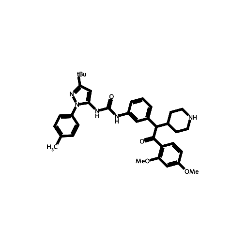 COc1ccc(C(=O)C(c2cccc(NC(=O)Nc3cc(C(C)(C)C)nn3-c3ccc(C)cc3)c2)C2CCNCC2)c(OC)c1